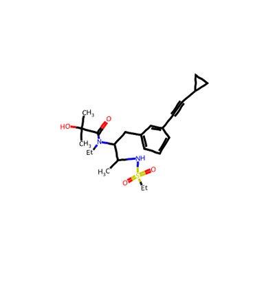 CCN(C(=O)C(C)(C)O)C(Cc1cccc(C#CC2CC2)c1)C(C)NS(=O)(=O)CC